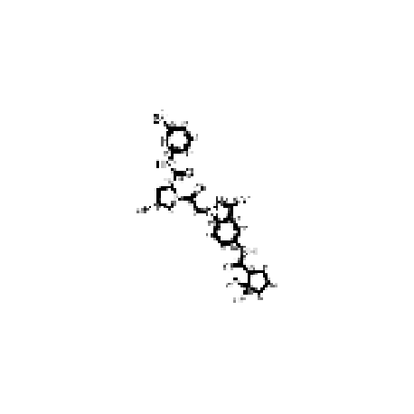 CC(=O)c1nn(CC(=O)N2C[C@H](F)C[C@H]2C(=O)Nc2cccc(Br)n2)c2ccc(NC(=O)C3CCCC3(F)F)cc12